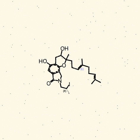 CC(C)=CCC/C(C)=C/CCC1(C)Oc2c(c(O)cc3c2CN(C[C@@H](C)I)C3=O)CC1O